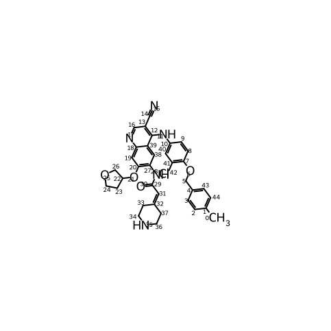 Cc1ccc(COc2ccc(Nc3c(C#N)cnc4cc(OC5CCOC5)c(NC(=O)C=C5CCNCC5)cc34)cc2Cl)cc1